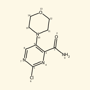 NC(=O)c1nc(Cl)ncc1N1CCOCC1